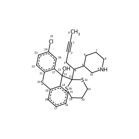 CC#CCC(C1CCCNC1)C1(C2(O)c3ccccc3Sc3ccc(Cl)cc32)SCCCS1